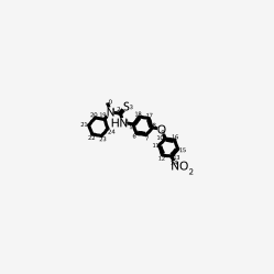 CN(C(=S)Nc1ccc(Oc2ccc([N+](=O)[O-])cc2)cc1)C1CCCCC1